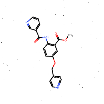 COC(=O)c1cc(OCc2ccncc2)ccc1NC(=O)c1cccnc1